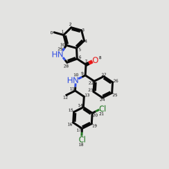 Cc1cccc2c(C(=O)C(NC(C)Cc3ccc(Cl)cc3Cl)c3ccccc3)c[nH]c12